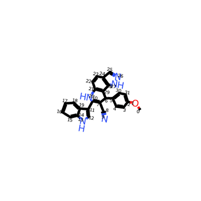 COc1ccc(C2C(C#N)=C(c3c[nH]c4ccccc34)Nc3ccc4cn[nH]c4c32)cc1